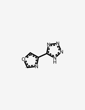 [c]1nc(-c2nnn[nH]2)co1